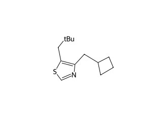 CC(C)(C)Cc1scnc1CC1CCC1